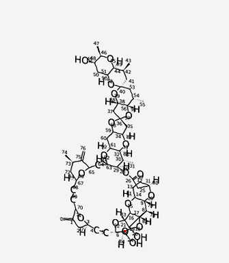 C=C1C[C@@H]2CC[C@@]34O[C@H]5[C@H]6O[C@H](CC[C@@H]6OC6[C@H]5OC(O)([C@@H]6O3)[C@H]4O)CC(=O)O[C@@H]3[C@@H](C)[C@@H]4O[C@@H]5C[C@]6(C[C@@H]7O[C@]8(C[C@H](C)[C@@H]9O[C@H](C)[C@H](O)C[C@@H]9O8)C[C@H](C)[C@@H]7O6)OC5C[C@@H]4O[C@H]3CC3O[C@@H](CCC1O2)C[C@@H](C)C3=C